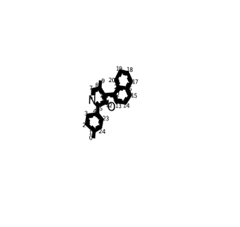 Cc1ccc(-c2ncc(C)c3c2oc2ccc4ccccc4c23)cc1